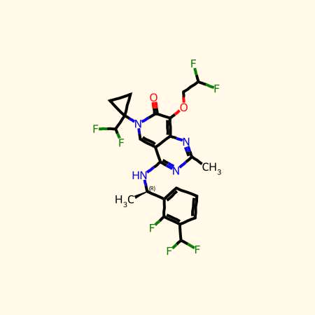 Cc1nc(N[C@H](C)c2cccc(C(F)F)c2F)c2cn(C3(C(F)F)CC3)c(=O)c(OCC(F)F)c2n1